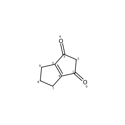 O=C1CC(=O)C2=C1CCC2